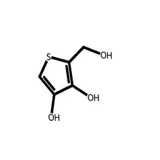 OCc1scc(O)c1O